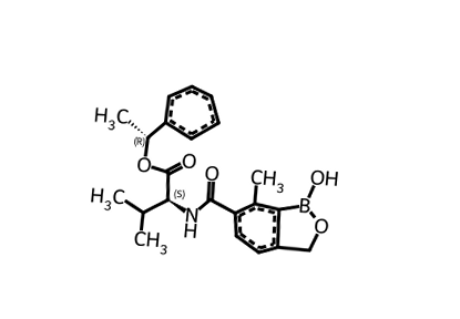 Cc1c(C(=O)N[C@H](C(=O)O[C@H](C)c2ccccc2)C(C)C)ccc2c1B(O)OC2